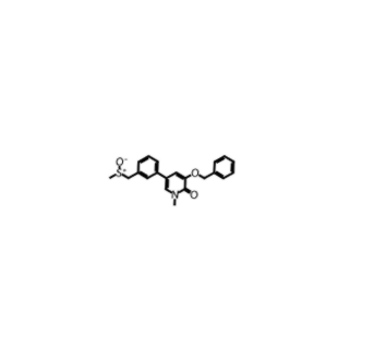 Cn1cc(-c2cccc(C[S+](C)[O-])c2)cc(OCc2ccccc2)c1=O